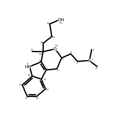 CN(C)CCC1Cc2c([nH]c3ccccc23)C(C)(CCCO)O1